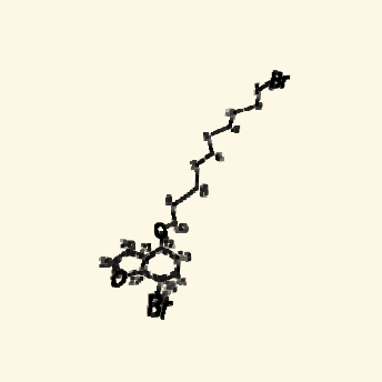 BrCCCCCCCCCCOc1ccc(Br)c2occc12